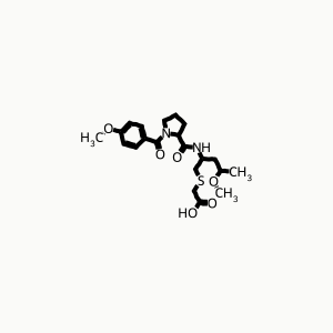 COc1ccc(C(=O)N2CCCC2C(=O)NC(CSCC(=O)O)CC(C)OC)cc1